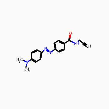 C#CCNC(=O)c1ccc(/N=N/c2ccc(N(C)C)cc2)cc1